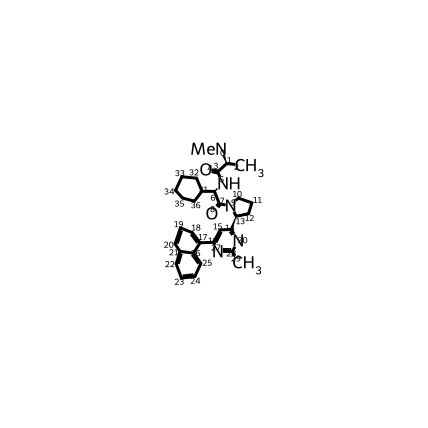 CN[C@@H](C)C(=O)N[C@H](C(=O)N1CCC[C@H]1c1cc(-c2cccc3ccccc23)nc(C)n1)C1CCCCC1